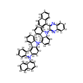 c1ccc2c(-c3nc4ccccc4nc3-n3c4ccccc4c4c(-n5c6ccccc6c6c7c8ccccc8n(-c8cccc9ccccc89)c7ccc65)cccc43)cccc2c1